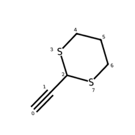 C#CC1SCCCS1